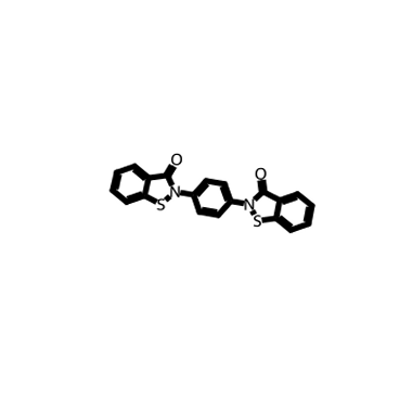 O=c1c2ccccc2sn1-c1ccc(-n2sc3ccccc3c2=O)cc1